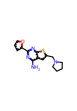 Nc1nc(-c2ccco2)nc2sc(CN3CCCC3)cc12